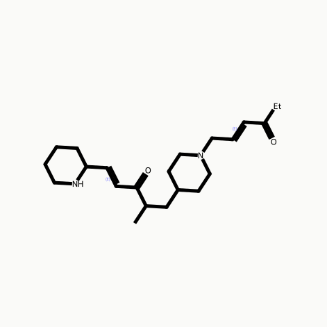 CCC(=O)/C=C/CN1CCC(CC(C)C(=O)/C=C/C2CCCCN2)CC1